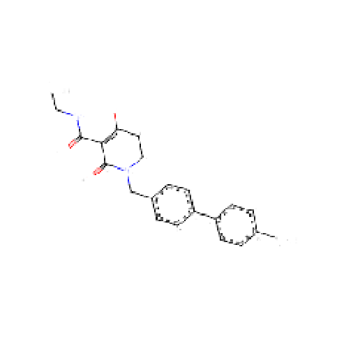 O=C(O)CNC(=O)C1=C(O)CCN(Cc2ccc(-c3ccc(C(=O)O)cc3)cc2)C1=O